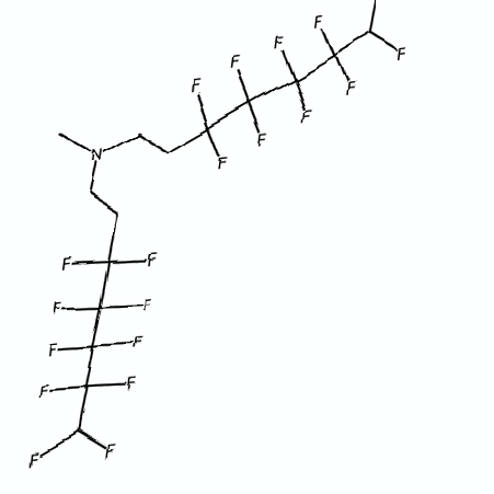 CN(CCC(F)(F)C(F)(F)C(F)(F)C(F)(F)C(F)F)CCC(F)(F)C(F)(F)C(F)(F)C(F)(F)C(F)F